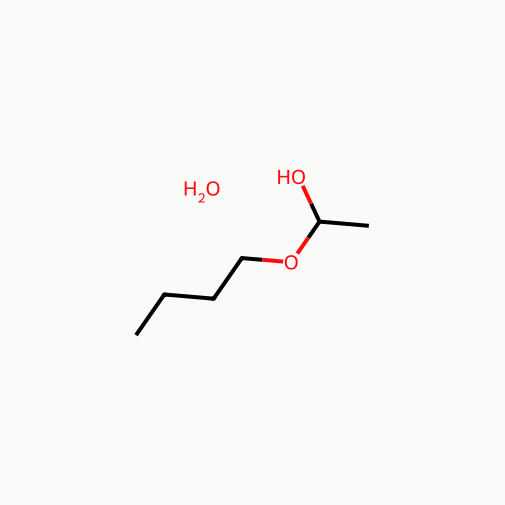 CCCCOC(C)O.O